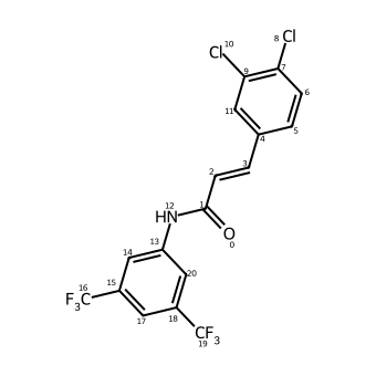 O=C(C=Cc1ccc(Cl)c(Cl)c1)Nc1cc(C(F)(F)F)cc(C(F)(F)F)c1